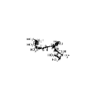 CC(C)(C)[Si](F)(c1ccc(C(=O)N[C@H](CNC(=O)CC[C@H](C(=O)O)N2CCN(CC(=O)O)CCN(CC(=O)O)CCN(CC(=O)O)CC2)C(=O)N[C@H](CCCCNC(=O)CCC(=O)NCCC[C@@H](NC(=O)CC[C@H](NC(=O)N[C@@H](CCC(=O)O)C(=O)O)C(=O)O)C(=O)O)C(=O)O)cc1)C(C)(C)C